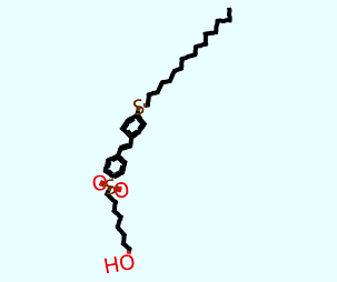 CCCCCCCCCCCCCCCCSc1ccc(C=Cc2ccc(S(=O)(=O)CCCCCCCCO)cc2)cc1